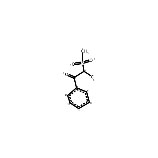 CS(=O)(=O)C(Cl)C(=O)c1ccccc1